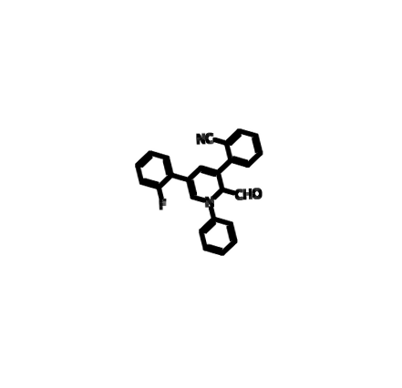 N#Cc1ccccc1C1=CC(c2ccccc2F)=CN(c2ccccc2)C1C=O